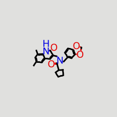 Cc1cc(C)c2[nH]c(=O)c(CN(Cc3ccc4c(c3)OCO4)C(=O)C3CCCC3)cc2c1